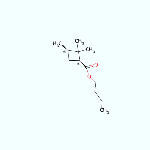 CCCCOC(=O)[C@H]1C[C@@H](C)C1(C)C